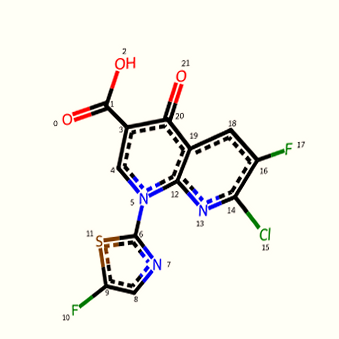 O=C(O)c1cn(-c2ncc(F)s2)c2nc(Cl)c(F)cc2c1=O